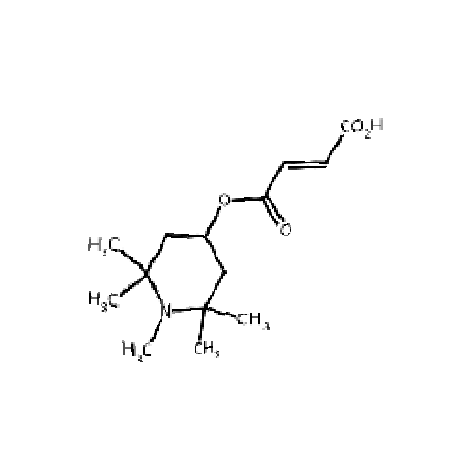 CN1C(C)(C)CC(OC(=O)C=CC(=O)O)CC1(C)C